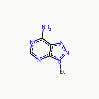 CCn1nnc2c(N)ncnc21